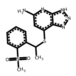 CC(Sc1cc(N)nc2[nH]nnc12)c1ccccc1S(C)(=O)=O